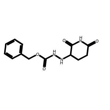 O=C1CCC(NNC(=O)OCc2ccccc2)C(=O)N1